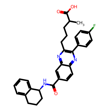 CC(CCCc1nc2cc(C(=O)N[C@H]3CCCc4ccccc43)ccc2nc1-c1ccc(F)cc1)C(=O)O